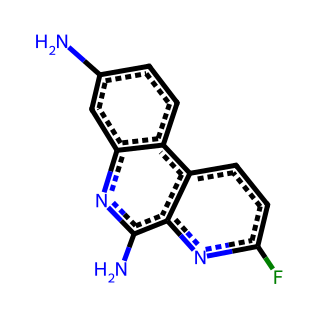 Nc1ccc2c(c1)nc(N)c1nc(F)ccc12